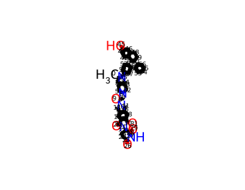 C[C@H]1CC2(CCN(CC(=O)N3Cc4cc5c(cc4C3)C(=O)N([C@@H]3CCC(=O)NC3=O)C5=O)CC2)CN1c1ccc([C@@H]2c3ccc(O)cc3CC[C@@H]2c2ccccc2)cc1